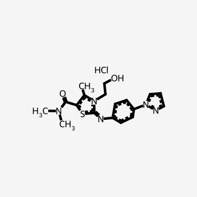 Cc1c(C(=O)N(C)C)sc(=Nc2ccc(-n3cccn3)cc2)n1CCO.Cl